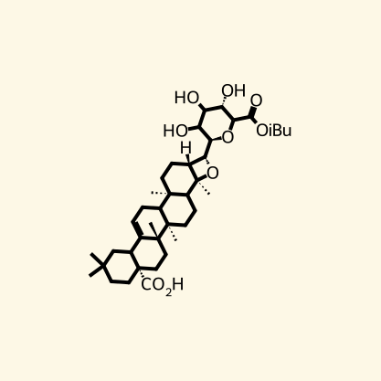 CC(C)COC(=O)C1O[C@@H]([C@@H]2O[C@@]3(C)C4CC[C@]5(C)C(CC=C6C7CC(C)(C)CC[C@]7(C(=O)O)CC[C@]65C)[C@@]4(C)CC[C@H]23)C(O)C(O)[C@@H]1O